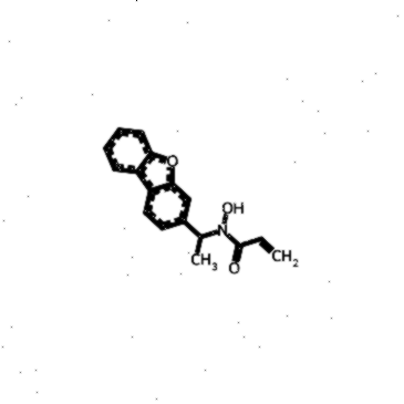 C=CC(=O)N(O)C(C)c1ccc2c(c1)oc1ccccc12